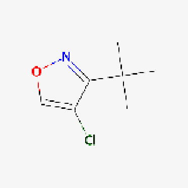 CC(C)(C)c1nocc1Cl